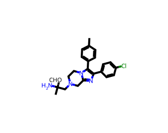 Cc1ccc(-c2c(-c3ccc(Cl)cc3)nc3n2CCN(CC(C)(N)C=O)C3)cc1